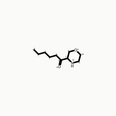 [CH2]CCCCC(=O)C1COCCN1